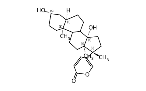 C[C@]12CCC3C(CC[C@@H]4C[C@@H](O)CC[C@]34C)[C@@]1(O)CC[C@]2(C)c1ccc(=O)oc1